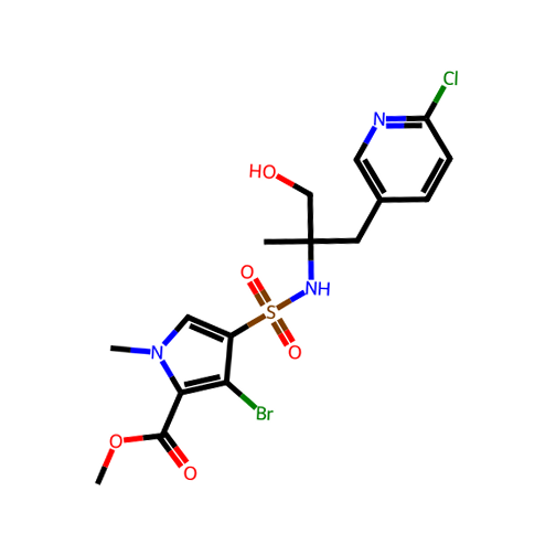 COC(=O)c1c(Br)c(S(=O)(=O)NC(C)(CO)Cc2ccc(Cl)nc2)cn1C